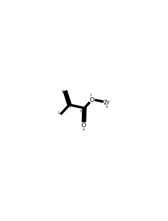 C=C(C)C(=O)[O][Zr]